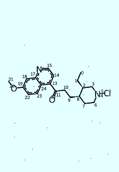 CC[C@H]1CN(Cl)CC[C@H]1CCC(=O)c1ccnc2cc(OC)ccc12